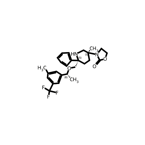 Cc1cc([C@@H](C)OC[C@@]2(c3ccccc3)CC[C@](C)(N3CCOC3=O)CN2)cc(C(F)(F)F)c1